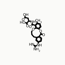 Cc1ccc2c(c1C(=O)NC(CC(=O)O)C(=O)O)OCCCc1cc(NC(=N)N)ccc1C(=O)O2